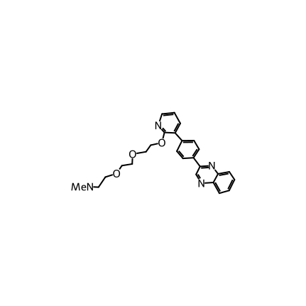 CNCCOCCOCCOc1ncccc1-c1ccc(-c2cnc3ccccc3n2)cc1